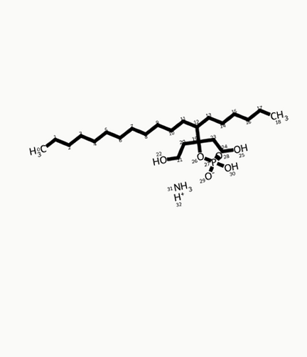 CCCCCCCCCCCCC(CCCCCC)C(CCO)(CCO)OP(=O)([O-])O.N.[H+]